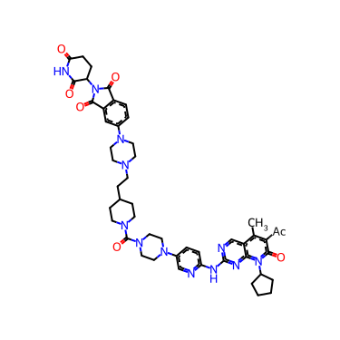 CC(=O)c1c(C)c2cnc(Nc3ccc(N4CCN(C(=O)N5CCC(CCN6CCN(c7ccc8c(c7)C(=O)N(C7CCC(=O)NC7=O)C8=O)CC6)CC5)CC4)cn3)nc2n(C2CCCC2)c1=O